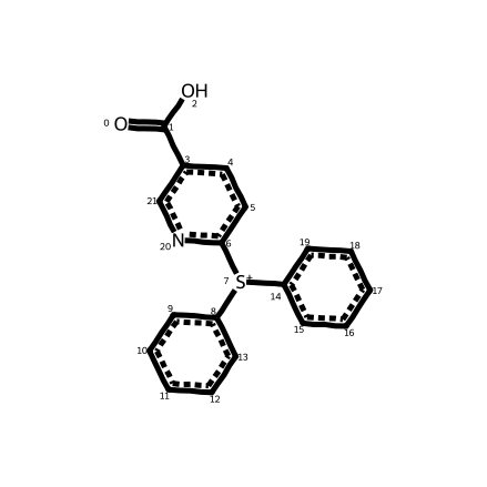 O=C(O)c1ccc([S+](c2ccccc2)c2ccccc2)nc1